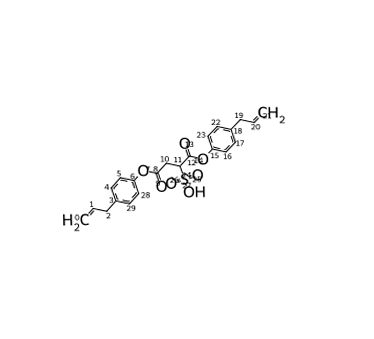 C=CCc1ccc(OC(=O)CC(C(=O)Oc2ccc(CC=C)cc2)S(=O)(=O)O)cc1